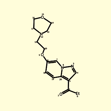 CCC(=O)c1cnn2cc(OCCN3CCOCC3)ccc12